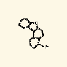 CC(C)c1cccc2c1ccc1oc3ccccc3c12